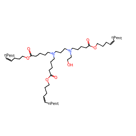 CCCCC/C=C\CCCOC(=O)CCCCN(CCO)CCCN(CCCCC(=O)OCCC/C=C\CCCCC)CCCCC(=O)OCCC/C=C\CCCCC